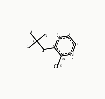 CC(C)(C)Cc1nccnc1Cl